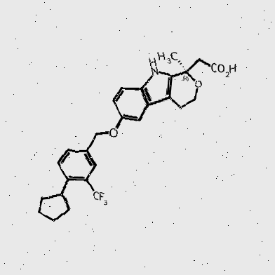 C[C@]1(CC(=O)O)OCCc2c1[nH]c1ccc(OCc3ccc(C4CCCC4)c(C(F)(F)F)c3)cc21